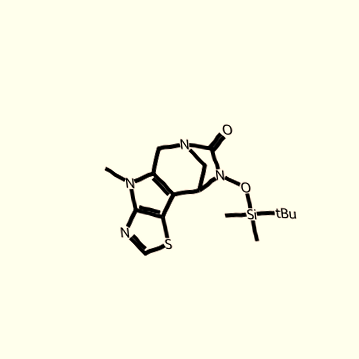 Cn1c2c(c3scnc31)C1CN(C2)C(=O)N1O[Si](C)(C)C(C)(C)C